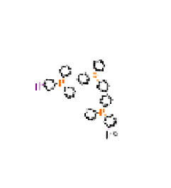 [I-].[I-].[I-].[Ir+3].c1ccc(P(c2ccccc2)c2ccccc2)cc1.c1ccc(P(c2ccccc2)c2ccccc2)cc1.c1ccc(P(c2ccccc2)c2ccccc2)cc1